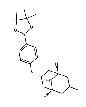 CC1C[C@@H]2C[C@H](Oc3ccc(B4OC(C)(C)C(C)(C)O4)cc3)C[C@H](C1)N2